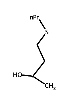 CCCSCC[C](C)O